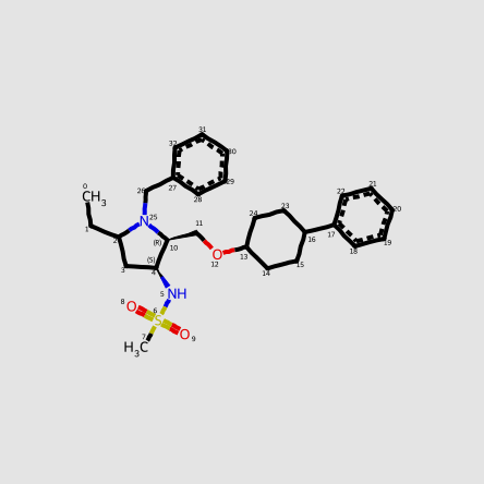 CCC1C[C@H](NS(C)(=O)=O)[C@H](COC2CCC(c3ccccc3)CC2)N1Cc1ccccc1